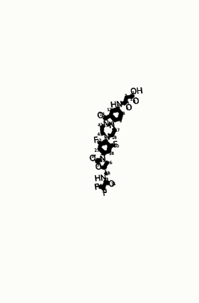 O=C(O)CC(=O)Nc1ccc2c(c1)c(=O)n1n2CCN(c2c(F)cc(N3C[C@H](CNC(=O)C(F)F)OC3=O)cc2F)CC1